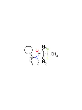 CC(F)(F)C(C)(C)C(=O)N1CCC=C[C@H]1C1CCCCC1